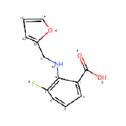 O=C(O)c1cccc(F)c1NCc1ccco1